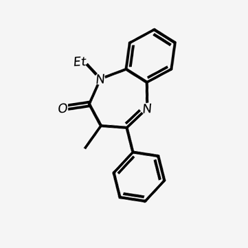 CCN1C(=O)C(C)C(c2ccccc2)=Nc2ccccc21